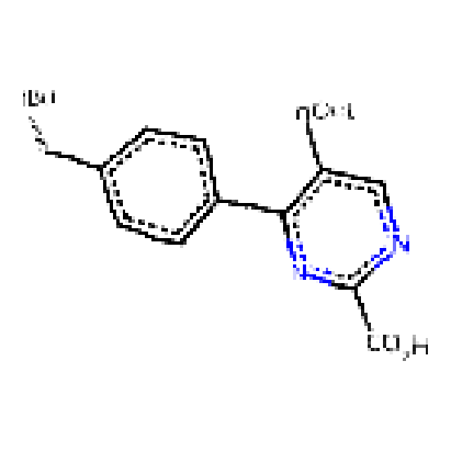 CCCCCCCCc1cnc(C(=O)O)nc1-c1ccc(C[C@@H](C)CC)cc1